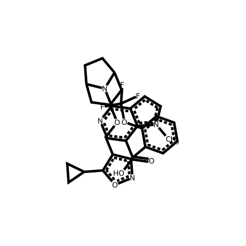 Cn1ccc2c(N3C4CCC3CC(OCc3c(-c5ccccc5OC(F)(F)F)noc3C3CC3)C4)ncc(C(=O)O)c21